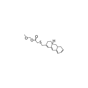 COCOC(=O)CSCC1=CC2=CC3=CC=CCC3C[C@H]2CC1